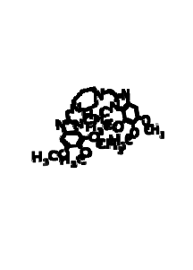 COc1cc2nc(CN3CCCN(Cc4nc5cc(OC)c(OC)c(OC)c5n4C)CC3)n(C)c2c(OC)c1OC